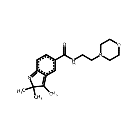 CC1=c2cc(C(=O)NCCN3CCOCC3)ccc2=NC1(C)C